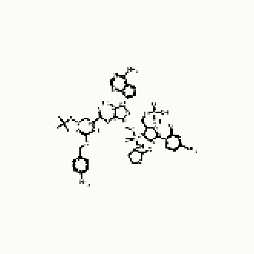 CC(C)(C)SSC[C@H](NC(=O)OCc1ccc(N)cc1)C(=O)O[C@H]1[C@@H](O)[C@H](n2cnc3c(N)ncnc32)O[C@@H]1COP(=O)(O)[C@@H]1C(COP(=O)(O)O)O[C@@H](n2ccc(N)nc2=O)[C@@H]1OC1CCCO1